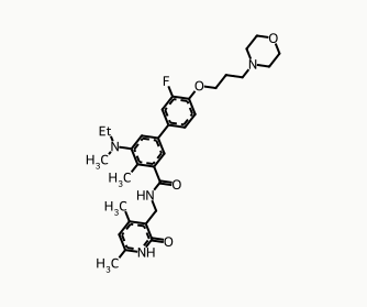 CCN(C)c1cc(-c2ccc(OCCCN3CCOCC3)c(F)c2)cc(C(=O)NCc2c(C)cc(C)[nH]c2=O)c1C